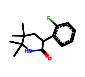 CC1(C)CC(c2ccccc2F)C(=O)NC1(C)C